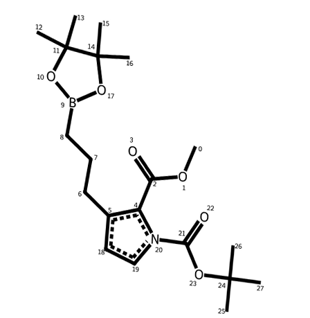 COC(=O)c1c(CCCB2OC(C)(C)C(C)(C)O2)ccn1C(=O)OC(C)(C)C